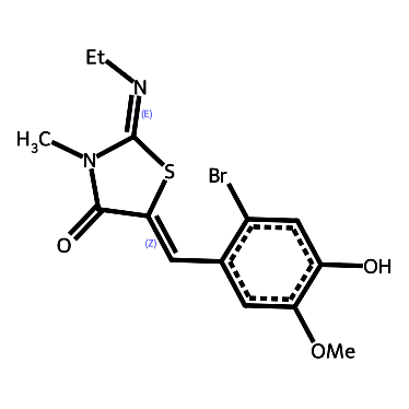 CC/N=C1/S/C(=C\c2cc(OC)c(O)cc2Br)C(=O)N1C